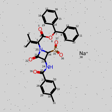 CC(C)=C(C(=O)OC(c1ccccc1)c1ccccc1)N1C(=O)C(NC(=O)c2ccc(C)cc2)C1[S-](=O)=O.[Na+]